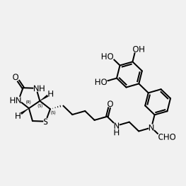 O=CN(CCNC(=O)CCCC[C@@H]1SC[C@@H]2NC(=O)N[C@@H]21)c1cccc(-c2cc(O)c(O)c(O)c2)c1